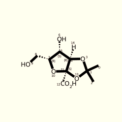 CC1(C)O[C@@H]2[C@@H](O)[C@@H](CO)O[C@]2(C(=O)O)O1